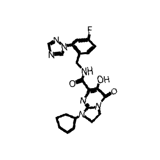 O=C(NCc1ccc(F)cc1-n1cncn1)c1nc2n(c(=O)c1O)CCN2C1CCCCC1